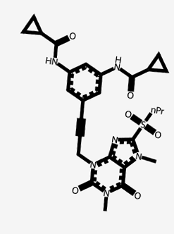 CCCS(=O)(=O)c1nc2c(c(=O)n(C)c(=O)n2CC#Cc2cc(NC(=O)C3CC3)cc(NC(=O)C3CC3)c2)n1C